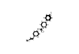 N#CC=C[C@H]1CC[C@H](OC(=O)[C@H]2CC[C@H](c3ccc(F)cc3)CC2)CC1